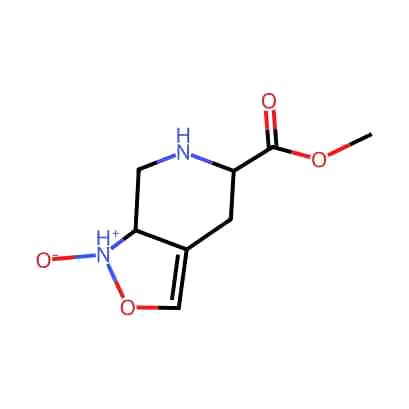 COC(=O)C1CC2=CO[NH+]([O-])C2CN1